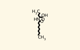 CCCCCCCCC(=O)NC(CCC)C(=O)O